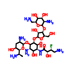 C[C@@H](N)[C@H]1O[C@H](O[C@@H]2[C@@H](N)[C@H](O)[C@@H](NC(=O)[C@@H](O)[C@H](F)CN)[C@H](O)[C@H]2O[C@@H]2O[C@H](CO)[C@@H](O[C@H]3O[C@@H](CN)[C@@H](O)[C@H](O)[C@H]3N)[C@H]2O)[C@H](N)C[C@@H]1O